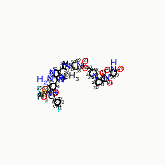 CC(Oc1cc(-c2nn(C)c3c(-c4cnn(C5CCN(C(=O)OCC6CCN(c7cccc8c7C(=O)N(C7CCC(=O)NC7=O)C8=O)CC6)CC5)c4)cnc(N)c23)ccc1NS(=O)(=O)C(F)F)c1ccc(F)cc1